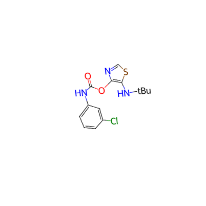 CC(C)(C)Nc1scnc1OC(=O)Nc1cccc(Cl)c1